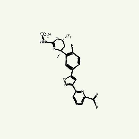 C[C@@]1(c2cc(-c3cc(-c4cccc(C(F)F)n4)no3)ccc2F)C[C@@H](C(F)(F)F)OC(NC(=O)O)=N1